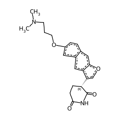 CN(C)CCCOc1ccc2cc3occ([C@H]4CCC(=O)NC4=O)c3cc2c1